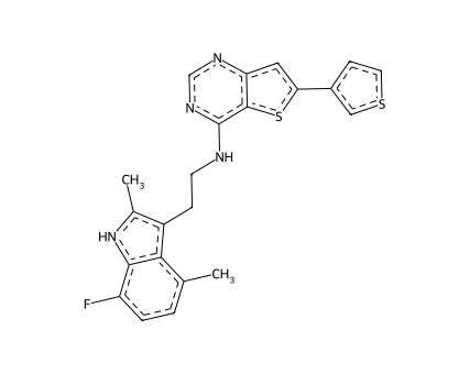 Cc1[nH]c2c(F)ccc(C)c2c1CCNc1ncnc2cc(-c3ccsc3)sc12